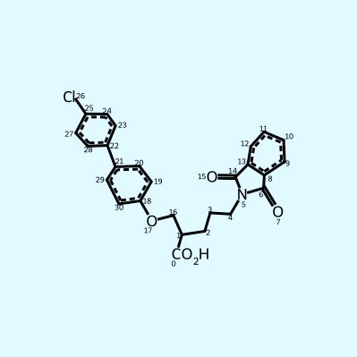 O=C(O)C(CCCN1C(=O)c2ccccc2C1=O)COc1ccc(-c2ccc(Cl)cc2)cc1